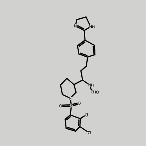 O=CNC(CCc1ccc(C2=NCCN2)cc1)C1CCCN(S(=O)(=O)c2cccc(Cl)c2Cl)C1